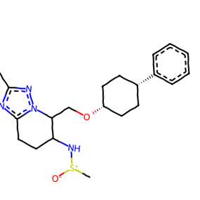 Cc1nc2n(n1)C(CO[C@H]1CC[C@@H](c3ccccc3)CC1)C(N[S+](C)[O-])CC2